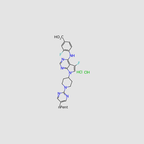 CCCCCc1cnc(N2CCC(n3cc(F)c4c(Nc5ccc(C(=O)O)cc5F)ncnc43)CC2)nc1.Cl.Cl